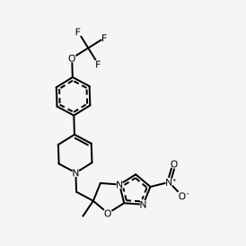 CC1(CN2CC=C(c3ccc(OC(F)(F)F)cc3)CC2)Cn2cc([N+](=O)[O-])nc2O1